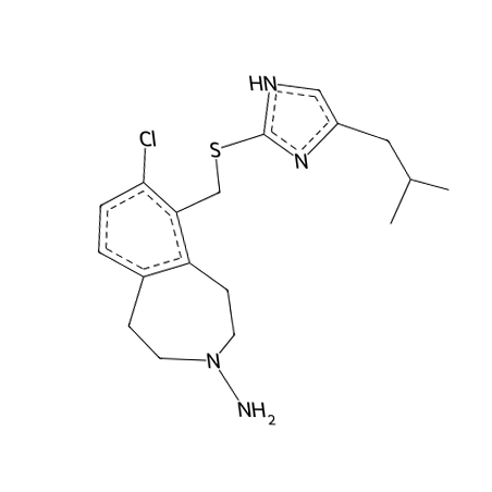 CC(C)Cc1c[nH]c(SCc2c(Cl)ccc3c2CCN(N)CC3)n1